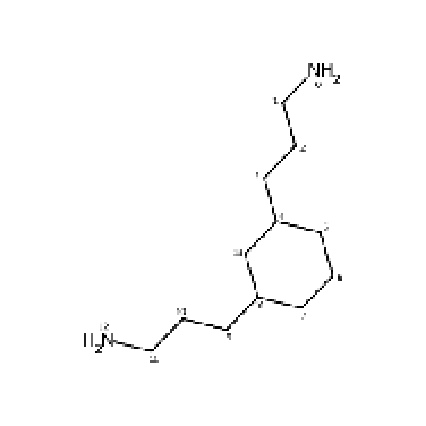 NCCCC1CCCC(CCCN)C1